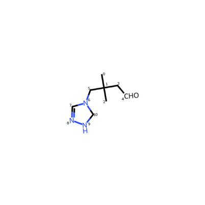 CC(C)(CC=O)CN1C=NNC1